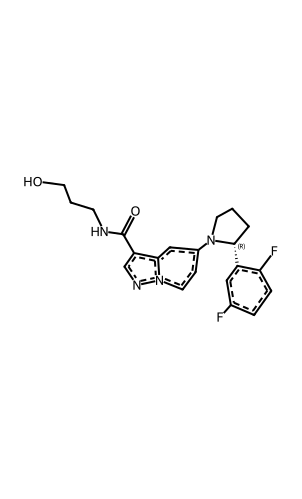 O=C(NCCCO)c1cnn2ccc(N3CCC[C@@H]3c3cc(F)ccc3F)cc12